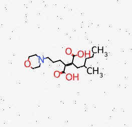 CCCC(C)CC(C(=O)O)=C(CCCN1CCOCC1)C(=O)O